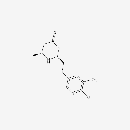 C[C@H]1CC(=O)C[C@@H](COc2cnc(Cl)c(C(F)(F)F)c2)N1